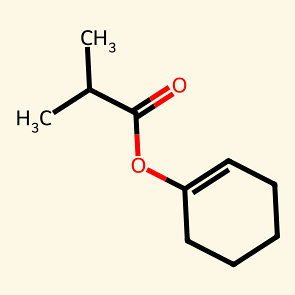 CC(C)C(=O)OC1=CCCCC1